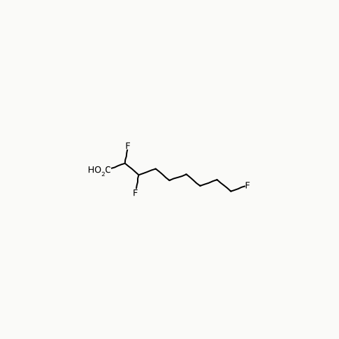 O=C(O)C(F)C(F)CCCCCCF